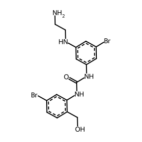 NCCNc1cc(Br)cc(NC(=O)Nc2cc(Br)ccc2CO)c1